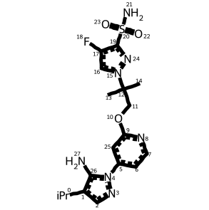 CC(C)c1cnn(-c2ccnc(OCC(C)(C)n3cc(F)c(S(N)(=O)=O)n3)c2)c1N